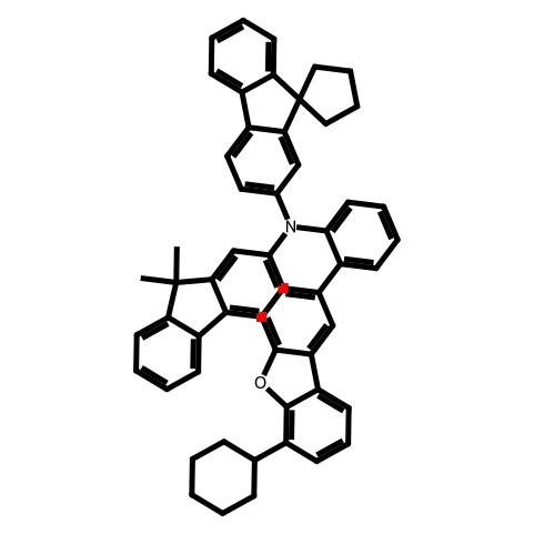 CC1(C)c2ccccc2-c2ccc(N(c3ccc4c(c3)C3(CCCC3)c3ccccc3-4)c3ccccc3-c3ccc4oc5c(C6CCCCC6)cccc5c4c3)cc21